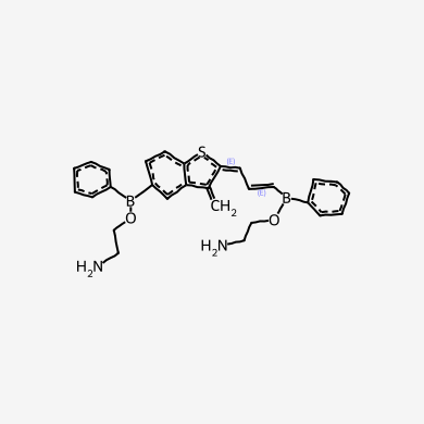 C=c1/c(=C\C=C\B(OCCN)c2ccccc2)sc2ccc(B(OCCN)c3ccccc3)cc12